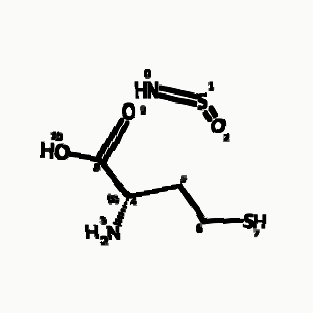 N=S=O.N[C@@H](CCS)C(=O)O